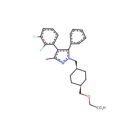 Cc1nn(C[C@H]2CC[C@@H](COCC(=O)O)CC2)c(-c2ccccc2)c1-c1cccc(F)c1F